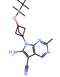 Cc1ncc2c(C#N)c(N)n(C34CC(O[Si](C)(C)C(C)(C)C)(C3)C4)c2n1